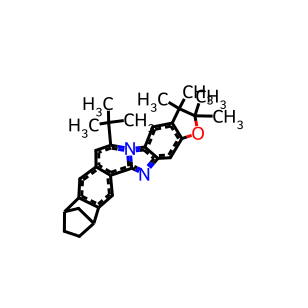 CC(C)(C)c1cc2cc3c(cc2c2nc4cc5c(cc4n12)C(C)(C)C(C)(C)O5)C1CCC3C1